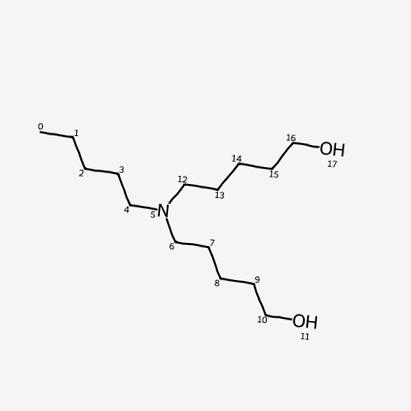 CCCCCN(CCCCCO)CCCCCO